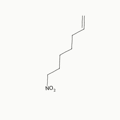 C=CCCCCC[N+](=O)[O-]